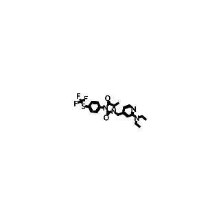 CCN(CC)c1cc(CN2C(=O)N(c3ccc(SC(F)(F)F)cc3)C(=O)C2C)ccn1